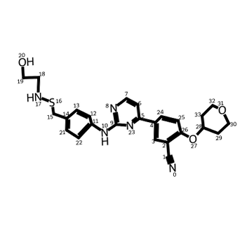 N#Cc1cc(-c2ccnc(Nc3ccc(CSNCCO)cc3)n2)ccc1OC1CCOCC1